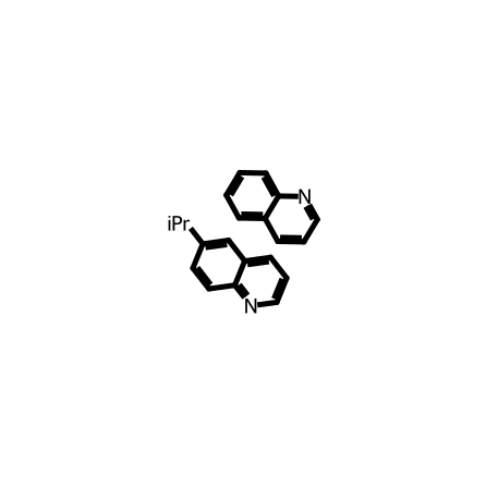 CC(C)c1ccc2ncccc2c1.c1ccc2ncccc2c1